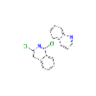 Clc1cc2ccccc2c(Cl)n1.c1ccc2ncccc2c1